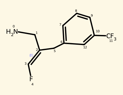 NC/C(=C/F)Cc1cccc(C(F)(F)F)c1